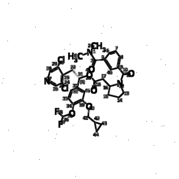 CN(C)C(=O)c1cccc(C(=O)N2CCCC2CC(=O)O[C@@H](Cc2c(Cl)cncc2Cl)c2ccc(OC(F)F)c(OCC3CC3)c2)c1